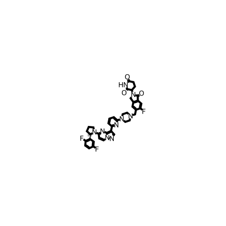 O=C1CCC(N2Cc3cc(CN4CCN(c5cccc(-c6cnn7ccc(N8CCC[C@@H]8c8cc(F)ccc8F)nc67)n5)CC4)c(F)cc3C2=O)C(=O)N1